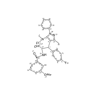 CCN(C)c1c(C(c2ccc(F)cc2)C(C=O)NC(=O)c2cccc(OC)c2)c(C)nn1-c1ccccc1